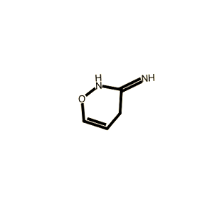 N=C1CC=CON1